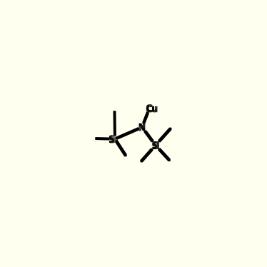 C[Si](C)(C)[N]([Cu])[Si](C)(C)C